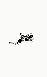 CN(C(=O)O)c1ccc(C(=O)N[C@@H](CCF)C(=O)N2CCC[C@@]3(C2)OC(=O)Nc2ccc(Cl)cc23)cc1